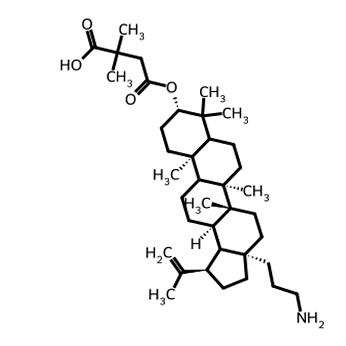 C=C(C)[C@@H]1CC[C@]2(CCCN)CC[C@]3(C)[C@H](CCC4[C@@]5(C)CC[C@H](OC(=O)CC(C)(C)C(=O)O)C(C)(C)C5CC[C@]43C)C12